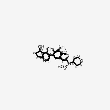 Cc1c(-c2cc3cc(N(C(=O)O)C4CCOCC4)ncc3c(N)c2F)cnc2c1C(O)CC2